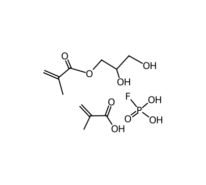 C=C(C)C(=O)O.C=C(C)C(=O)OCC(O)CO.O=P(O)(O)F